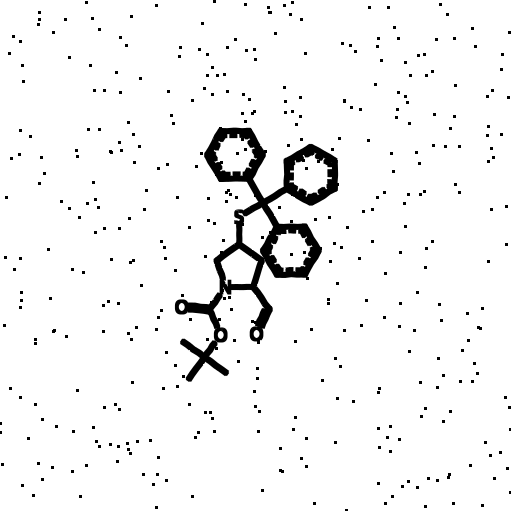 CC(C)(C)OC(=O)N1CC(SC(c2ccccc2)(c2ccccc2)c2ccccc2)CC1C=O